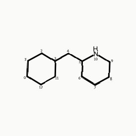 C1CCC(CC2CCCCN2)CC1